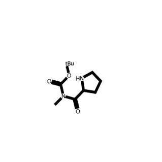 CN(C(=O)OC(C)(C)C)C(=O)C1CCCN1